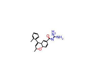 Cc1ccccc1C1=CC(C)OC2C=CC(C(=O)N=C(N)N)=CC12